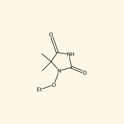 CCON1C(=O)NC(=O)C1(C)C